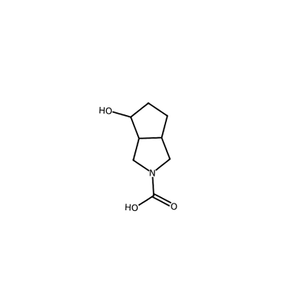 O=C(O)N1CC2CCC(O)C2C1